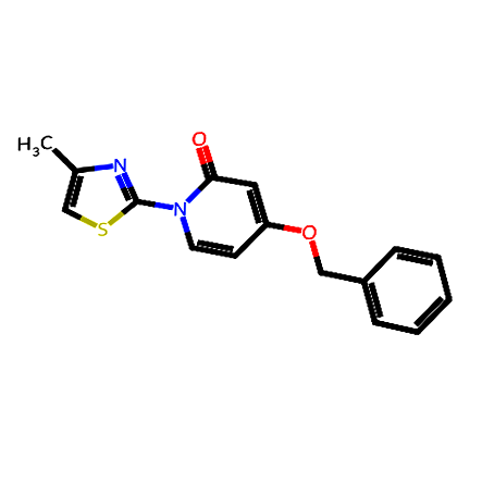 Cc1csc(-n2ccc(OCc3ccccc3)cc2=O)n1